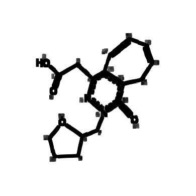 O=C(O)Cc1nn(CC2CCCO2)c(=O)c2c1C=CC=CC2